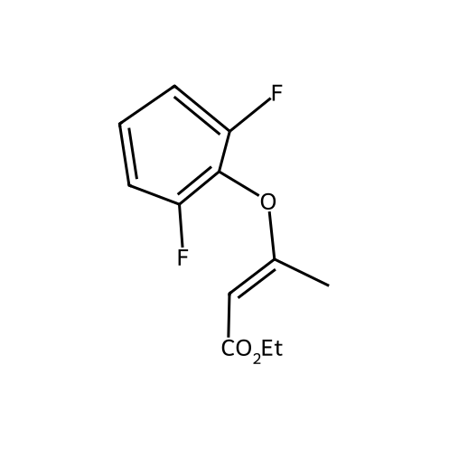 CCOC(=O)C=C(C)Oc1c(F)cccc1F